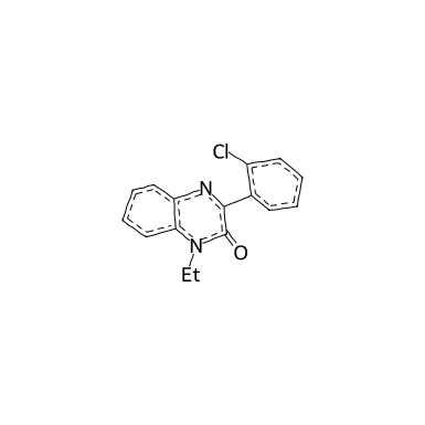 CCn1c(=O)c(-c2ccccc2Cl)nc2ccccc21